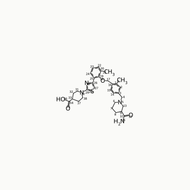 Cc1cc(CN2CCCC(C(N)=O)C2)ccc1COc1c(C)cccc1-c1csc(N2CCC(C(=O)O)CC2)n1